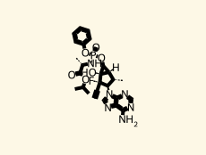 C#C[C@]1(F)[C@H](n2cnc3c(N)ncnc32)[C@@H](C)[C@@H]2C(O[P@@](=O)(N[C@@H](C)C(=O)OC(C)C)Oc3ccccc3)[C@@]21O